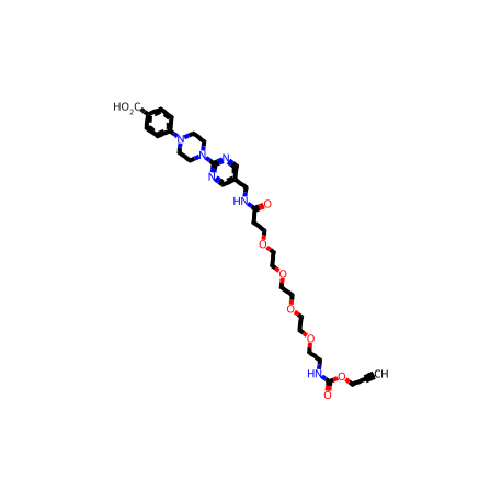 C#CCOC(=O)NCCOCCOCCOCCOCCC(=O)NCc1cnc(N2CCN(c3ccc(C(=O)O)cc3)CC2)nc1